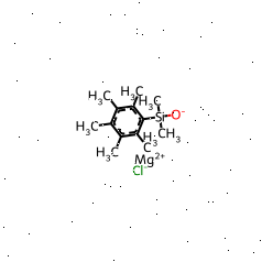 Cc1c(C)c(C)c([Si](C)(C)[O-])c(C)c1C.[Cl-].[Mg+2]